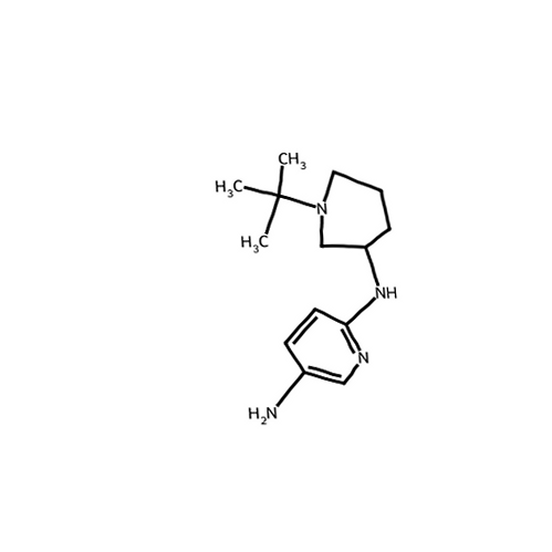 CC(C)(C)N1CCCC(Nc2ccc(N)cn2)C1